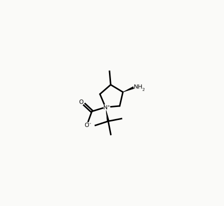 CC1C[N@+](C(=O)[O-])(C(C)(C)C)C[C@@H]1N